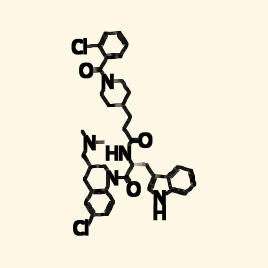 CN(C)C[C@@H]1Cc2cc(Cl)ccc2N(C(=O)[C@@H](Cc2c[nH]c3ccccc23)NC(=O)CCC2CCN(C(=O)c3ccccc3Cl)CC2)C1